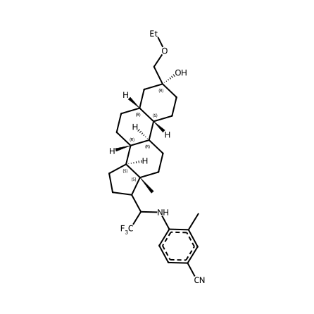 CCOC[C@@]1(O)CC[C@H]2[C@H](CC[C@@H]3[C@@H]2CC[C@]2(C)C(C(Nc4ccc(C#N)cc4C)C(F)(F)F)CC[C@@H]32)C1